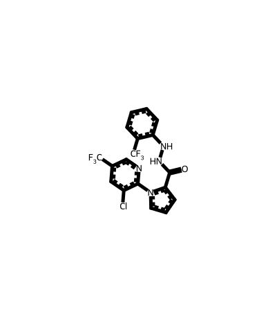 O=C(NNc1ccccc1C(F)(F)F)c1cccn1-c1ncc(C(F)(F)F)cc1Cl